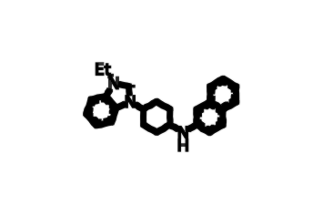 CCN1[CH]N(C2CCC(Nc3ccc4ccccc4c3)CC2)c2ccccc21